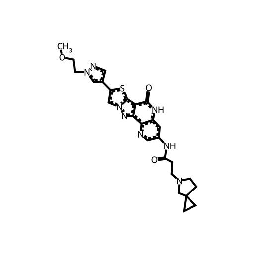 COCCn1cc(-c2cn3nc4c5ncc(NC(=O)CCN6CCC7(CC7)C6)cc5[nH]c(=O)c4c3s2)cn1